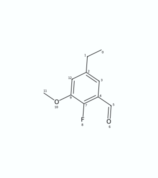 CCc1cc(C=O)c(F)c(OC)c1